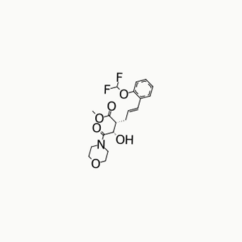 COC(=O)[C@H](C/C=C/c1ccccc1OC(F)F)[C@H](O)C(=O)N1CCOCC1